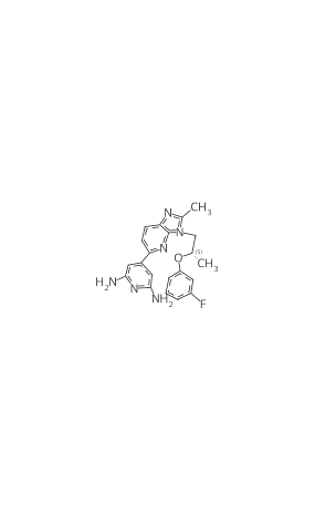 Cc1nc2ccc(-c3cc(N)nc(N)c3)nc2n1C[C@H](C)Oc1cccc(F)c1